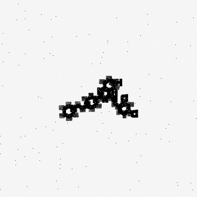 Clc1ccc(CNc2nc(N3CCN(CCN4CCCCC4)CC3)nc3c2CNCC3)c(Cl)c1